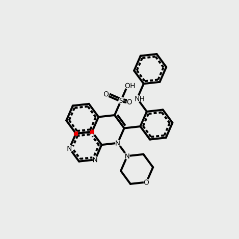 O=S(=O)(O)C(=C(c1ccccc1Nc1ccccc1)N(c1ncncn1)N1CCOCC1)c1ccccc1